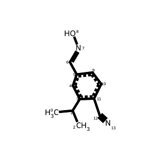 CC(C)c1cc(C=NO)ccc1C#N